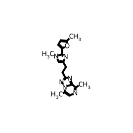 Cc1ccc(-c2nc(CCc3nc4c(C)ncc(C)n4n3)cn2C)o1